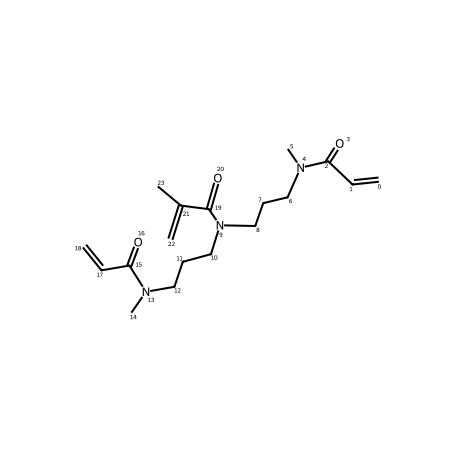 C=CC(=O)N(C)CCCN(CCCN(C)C(=O)C=C)C(=O)C(=C)C